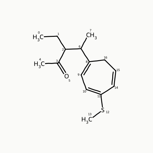 CCC(C(C)=O)C(C)C1=CC=C(SC)C=CC1